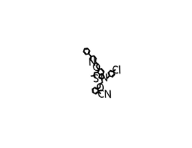 CC1Cc2c(OCc3ccc(-c4ccccc4)cn3)ccc3c2c(c(CCOc2ccccc2C#N)n3Cc2ccc(Cl)cc2)S1